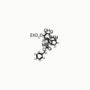 CCOC(=O)c1nc2n(c(=O)c1O)C[C@H]1CC[C@@](C)(C2NC(=O)OCc2ccccc2)C1(C)C